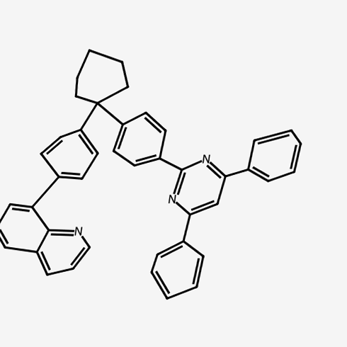 c1ccc(-c2cc(-c3ccccc3)nc(-c3ccc(C4(c5ccc(-c6cccc7cccnc67)cc5)CCCCC4)cc3)n2)cc1